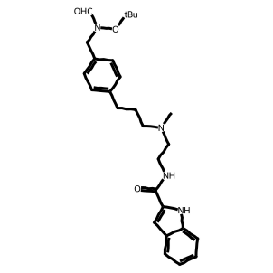 CN(CCCc1ccc(CN(C=O)OC(C)(C)C)cc1)CCNC(=O)c1cc2ccccc2[nH]1